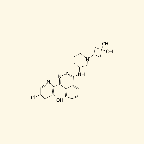 CC1(O)CC(N2CCCC(Nc3nnc(-c4ncc(Cl)cc4O)c4ccccc34)C2)C1